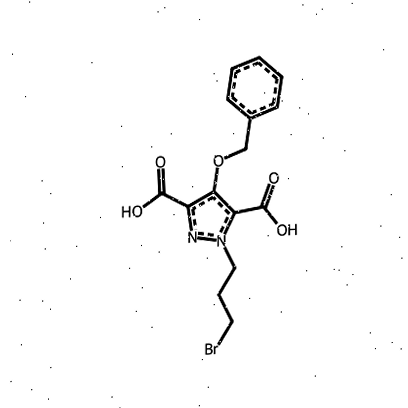 O=C(O)c1nn(CCCBr)c(C(=O)O)c1OCc1ccccc1